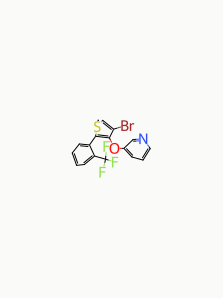 FC(F)(F)c1ccccc1-c1s[c]c(Br)c1Oc1cccnc1